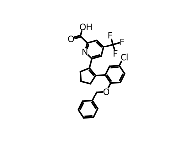 O=C(O)c1cc(C(F)(F)F)cc(C2=C(c3cc(Cl)ccc3OCc3ccccc3)CCC2)n1